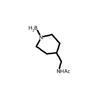 BN1CCC(CNC(C)=O)CC1